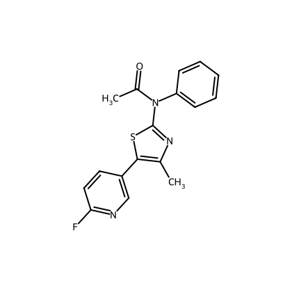 CC(=O)N(c1ccccc1)c1nc(C)c(-c2ccc(F)nc2)s1